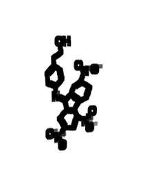 O=[N+]([O-])c1ccc2c(c1)C(=Nc1ccc(CCO)cc1)c1cc([N+](=O)[O-])cc([N+](=O)[O-])c1-2